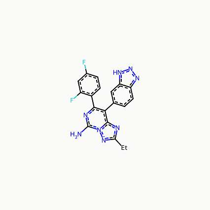 CCc1nc2c(-c3ccc4nn[nH]c4c3)c(-c3ccc(F)cc3F)nc(N)n2n1